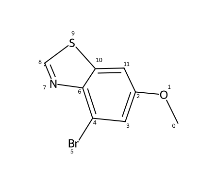 COc1cc(Br)c2n[c]sc2c1